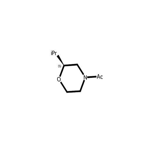 CC(=O)N1CCO[C@@H](C(C)C)C1